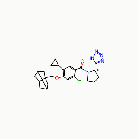 O=C(c1cc(C2CC2)c(OCC23CC4CC2CC4C3)cc1F)N1CCC[C@H]1c1nnn[nH]1